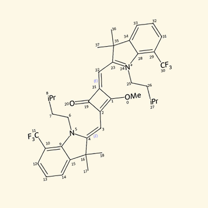 COC1=C(/C=C2\N(CCC(C)C)c3c(C(F)(F)F)cccc3C2(C)C)C(=O)/C1=C/C1=[N+](CCC(C)C)c2c(C(F)(F)F)cccc2C1(C)C